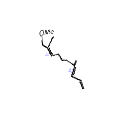 C=C/C=C(\C)CC/C=C(\C)COC